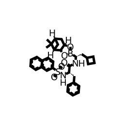 CC1(C)[C@H]2C[C@@H]1C1OB([C@H](CC3CCC3)NC(=O)[C@H](Cc3ccccc3)NS(=O)(=O)c3ccc4ccccc4c3)O[C@@H]1C2